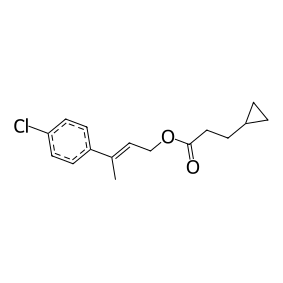 CC(=CCOC(=O)CCC1CC1)c1ccc(Cl)cc1